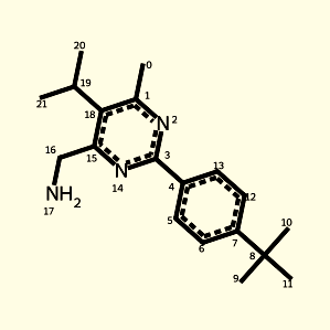 Cc1nc(-c2ccc(C(C)(C)C)cc2)nc(CN)c1C(C)C